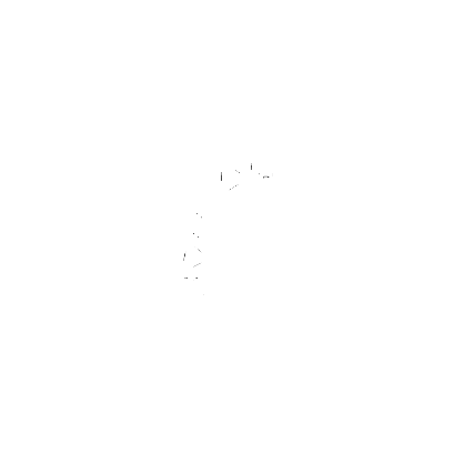 CNC(=O)c1ccc2c(c1)CCOC2CCN1CCN(c2ccc(S(C)(=O)=O)cc2)CC1